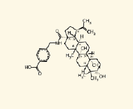 C=C(C)[C@@H]1CC[C@]2(C(=O)NCc3ccc(C(=O)O)cc3)CC[C@]3(C)[C@H](CC[C@@H]4[C@@]5(C)CC[C@H](O)C(C)(C)[C@@H]5CC[C@]43C)[C@@H]12